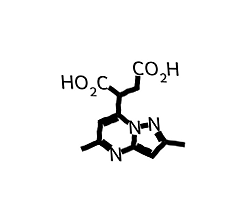 Cc1cc(C(CC(=O)O)C(=O)O)n2nc(C)cc2n1